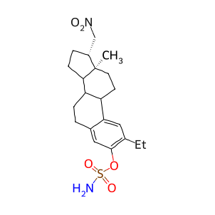 CCc1cc2c(cc1OS(N)(=O)=O)CCC1C2CC[C@@]2(C)C1CC[C@@H]2C[N+](=O)[O-]